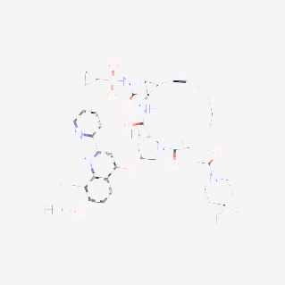 COc1ccc2c(O[C@@H]3C[C@H]4C(=O)N[C@]5(C(=O)NS(=O)(=O)C6CC6)CC5/C=C\CCCCC[C@H](CC(=O)N5CCC(F)(F)CC5)C(=O)N4C3)cc(-c3ccccn3)nc2c1Cl